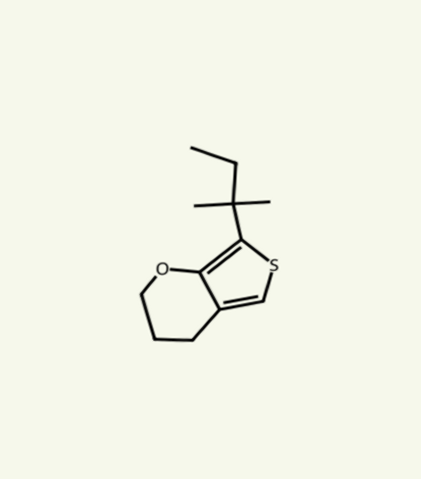 CCC(C)(C)c1scc2c1OCCC2